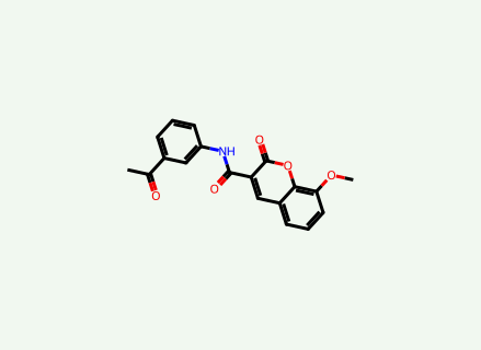 COc1cccc2cc(C(=O)Nc3cccc(C(C)=O)c3)c(=O)oc12